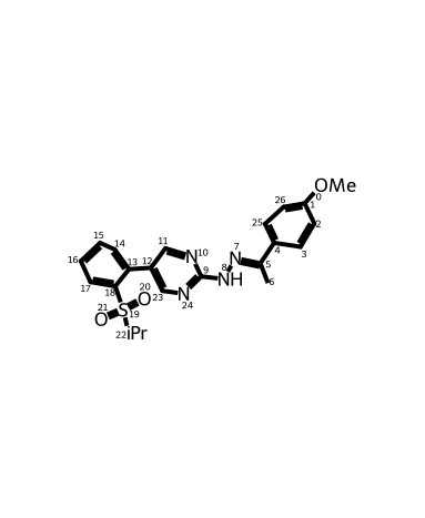 COc1ccc(/C(C)=N/Nc2ncc(-c3ccccc3S(=O)(=O)C(C)C)cn2)cc1